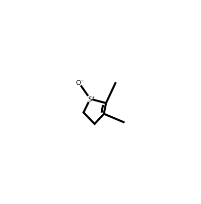 CC1=C(C)[S+]([O-])CC1